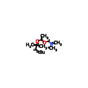 CC(OCN(C)C)OC(C)(C)CC(C)(C)C